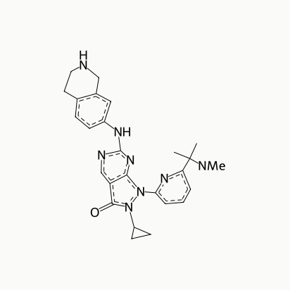 CNC(C)(C)c1cccc(-n2c3nc(Nc4ccc5c(c4)CNCC5)ncc3c(=O)n2C2CC2)n1